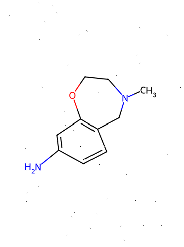 CN1CCOc2cc(N)ccc2C1